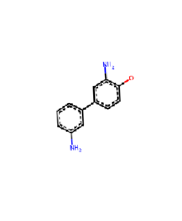 Nc1cccc(-c2ccc([O])c(N)c2)c1